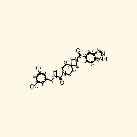 O=C(NCc1cc(Cl)cc(Cl)c1)N1CCC2(CC1)CN(C(=O)c1ccc3[nH]nnc3c1)C2